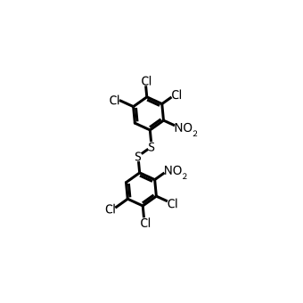 O=[N+]([O-])c1c(SSc2cc(Cl)c(Cl)c(Cl)c2[N+](=O)[O-])cc(Cl)c(Cl)c1Cl